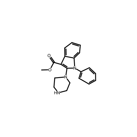 COC(=O)c1c(N2CCNCC2)n(-c2ccccc2)c2ccccc12